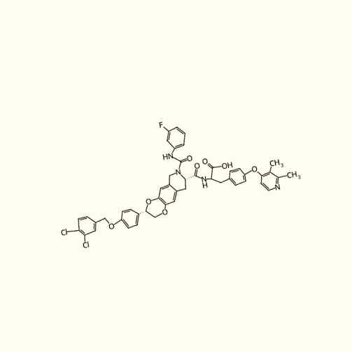 Cc1nccc(Oc2ccc(CC(NC(=O)[C@@H]3Cc4cc5c(cc4CN3C(=O)Nc3cccc(F)c3)O[C@@H](c3ccc(OCc4ccc(Cl)c(Cl)c4)cc3)CO5)C(=O)O)cc2)c1C